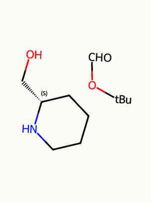 CC(C)(C)OC=O.OC[C@@H]1CCCCN1